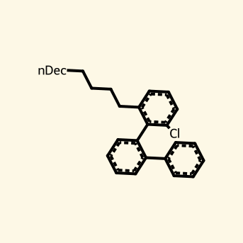 CCCCCCCCCCCCCCc1cccc(Cl)c1-c1ccccc1-c1ccccc1